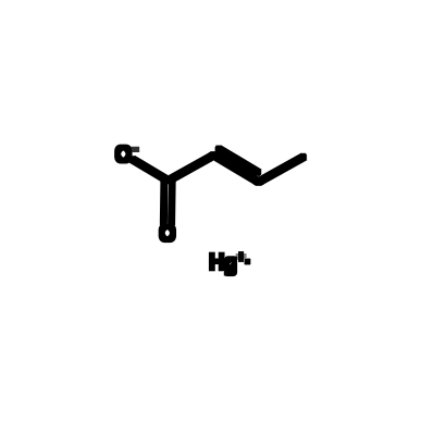 CC=CC(=O)[O-].[Hg+]